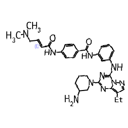 CCc1cnn2c(Nc3cccc(NC(=O)c4ccc(NC(=O)/C=C/CN(C)C)cc4)c3)nc(N3CCCC(N)C3)nc12